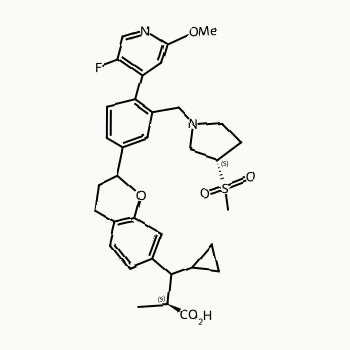 COc1cc(-c2ccc(C3CCc4ccc(C(C5CC5)[C@H](C)C(=O)O)cc4O3)cc2CN2CC[C@H](S(C)(=O)=O)C2)c(F)cn1